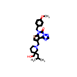 COc1ccc(Cn2c(=O)n3ncnc3c3c(CN4CCCC(CO)(CC(C)C)C4)csc32)cc1